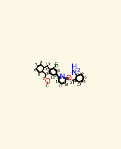 COCCC1C=CC=CC1Cc1ccc(-c2cccc(OCc3ccccc3N)n2)cc1F